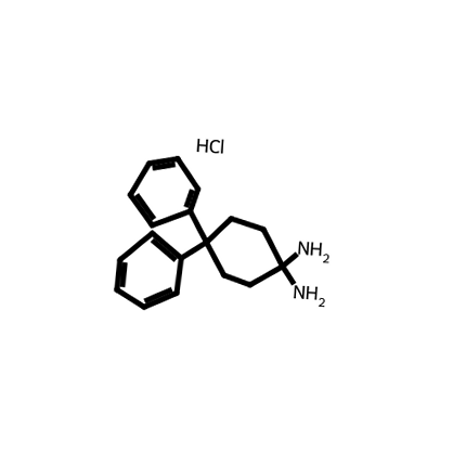 Cl.NC1(N)CCC(c2ccccc2)(c2ccccc2)CC1